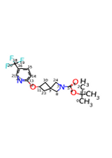 CC(C)(C)OC(=O)N1CC2(CC(Oc3ccc(C(F)(F)F)cn3)C2)C1